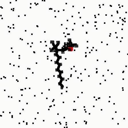 CCCCCCCCCCC(C#CO[SiH](C)C)C(C)(C)C